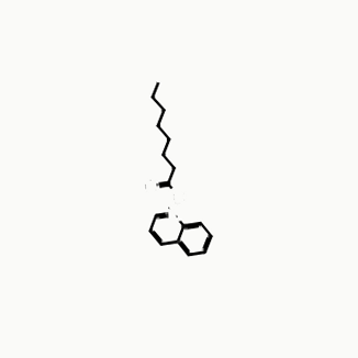 CCCCCCCC(=O)O[n+]1cccc2ccccc21